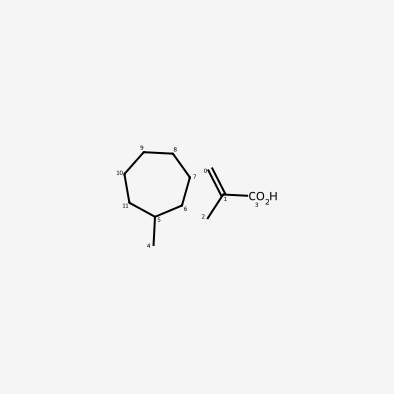 C=C(C)C(=O)O.CC1CCCCCC1